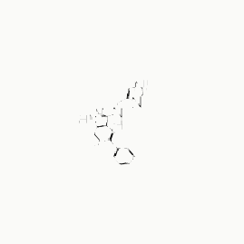 Clc1cc2[nH]nc(NCc3c[nH]cn3)c2cc1-c1ccccc1